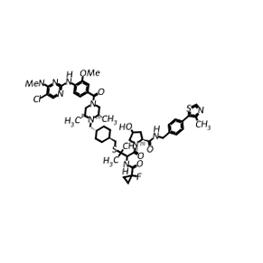 CNc1nc(Nc2ccc(C(=O)N3C[C@@H](C)N(C[C@H]4CC[C@H](CSC(C)(C)C(NC(=O)C5(F)CC5)C(=O)N5CC(O)C[C@H]5C(=O)NCc5ccc(-c6scnc6C)cc5)CC4)[C@@H](C)C3)cc2OC)ncc1Cl